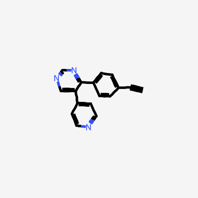 C#Cc1ccc(-c2ncncc2-c2ccncc2)cc1